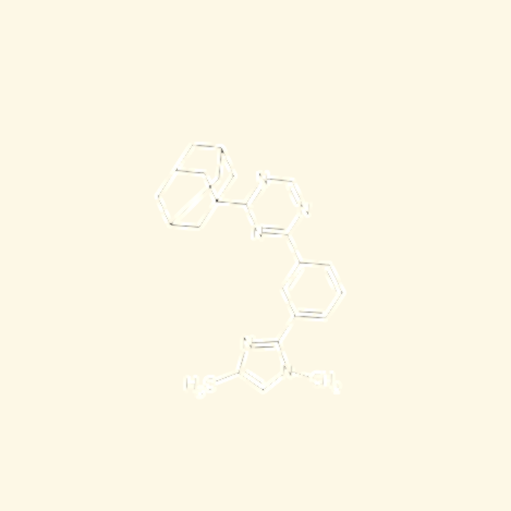 Cc1cn(C)c(-c2cccc(-c3ncnc(C45CC6CC(CC(C6)C4)C5)n3)c2)n1